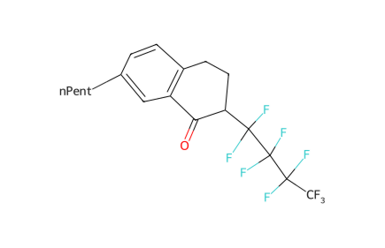 CCCCCc1ccc2c(c1)C(=O)C(C(F)(F)C(F)(F)C(F)(F)C(F)(F)F)CC2